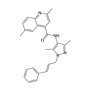 Cc1ccc2nc(C)cc(C(=O)Nc3c(C)nn(CC=Cc4ccccc4)c3C)c2c1